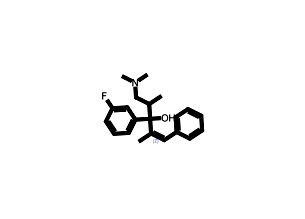 C/C(=C/c1ccccc1)C(O)(c1cccc(F)c1)C(C)CN(C)C